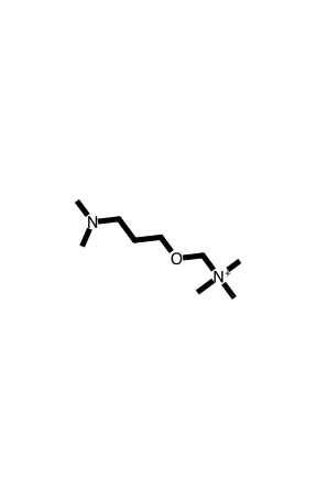 CN(C)CCCOC[N+](C)(C)C